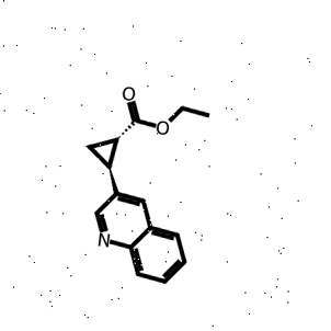 CCOC(=O)[C@H]1C[C@@H]1c1cnc2ccccc2c1